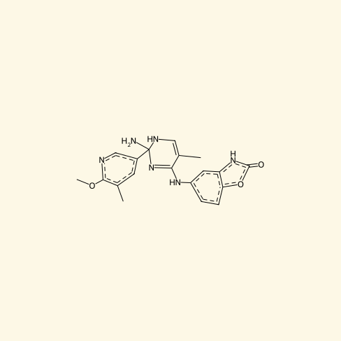 COc1ncc(C2(N)N=C(Nc3ccc4oc(=O)[nH]c4c3)C(C)=CN2)cc1C